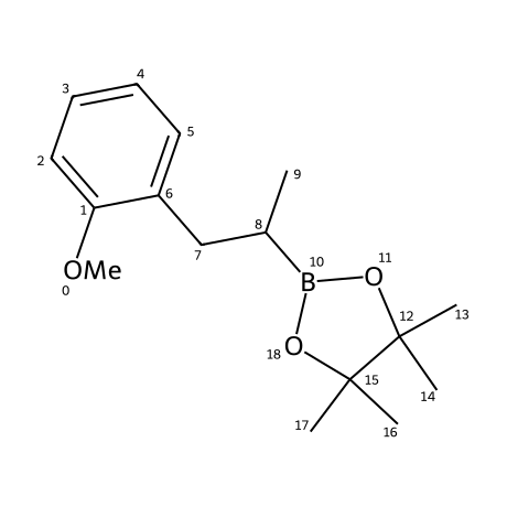 COc1ccccc1CC(C)B1OC(C)(C)C(C)(C)O1